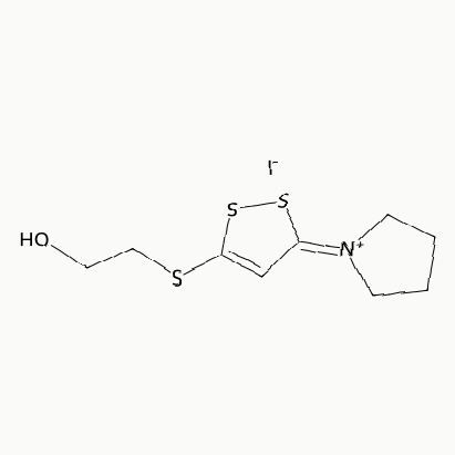 OCCSc1cc(=[N+]2CCCC2)ss1.[I-]